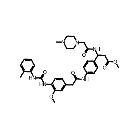 COC(=O)CC(NC(=O)CN1CCN(C)CC1)c1ccc(NC(=O)Cc2ccc(NC(=O)Nc3ccccc3C)c(OC)c2)cc1